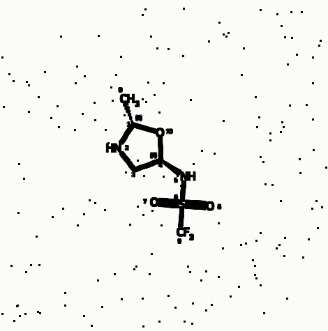 C[C@H]1NC[C@H](NS(=O)(=O)C(F)(F)F)O1